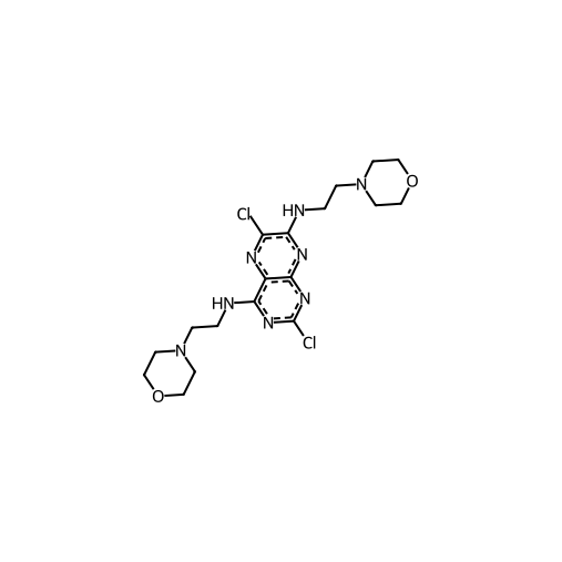 Clc1nc(NCCN2CCOCC2)c2nc(Cl)c(NCCN3CCOCC3)nc2n1